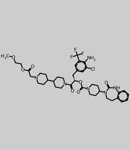 COCCOC(=O)CN1CCC(C2CCN(C(=O)[C@@H](Cc3cc(Cl)c(N)c(C(F)(F)F)c3)OC(=O)N3CCC(N4CCc5ccccc5NC4=O)CC3)CC2)CC1